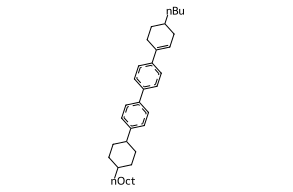 CCCCCCCCC1CCC(c2ccc(-c3ccc(C4=CCC(CCCC)CC4)cc3)cc2)CC1